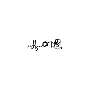 O=C(/C=C/c1ccc(CNC23CC4CC(CC(O)(C4)C2)C3)cc1)NO